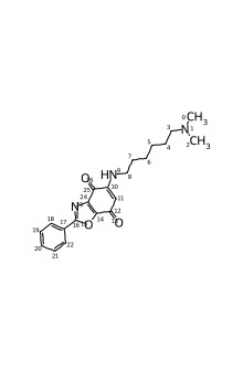 CN(C)CCCCCCNC1=CC(=O)c2oc(-c3ccccc3)nc2C1=O